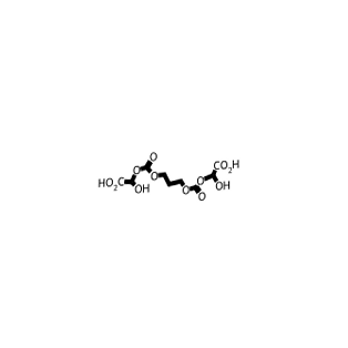 O=C(OCCCOC(=O)OC(O)C(=O)O)OC(O)C(=O)O